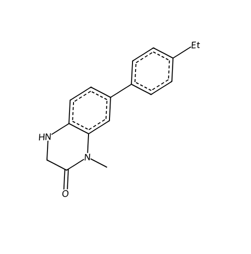 CCc1ccc(-c2ccc3c(c2)N(C)C(=O)CN3)cc1